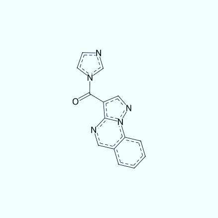 O=C(c1cnn2c1ncc1ccccc12)n1ccnc1